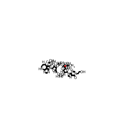 CC(C)(C)[Si](C)(C)CO[C@H]1[C@H]2OP(=O)(S)OC[C@H]3O[C@@H](n4cc5c6c(ncnc64)NCCC5)[C@H](O[Si](C)(C)C(C)(C)C)[C@@H]3OP(=O)(S)OC[C@H]1O[C@H]2n1cnc2c(=O)n(CCO)cnc21